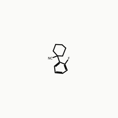 N#CC1(c2ccccc2F)CCCCC1